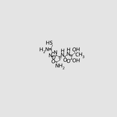 CC(O)[C@H](NC(=O)N[C@@H](CC(N)=O)c1nc([C@@H](N)CS)no1)C(=O)O